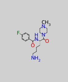 CN1CCN(C(=O)[C@H](CCCCN)NC(=O)c2ccc(F)cc2)CC1